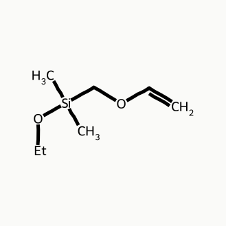 C=COC[Si](C)(C)OCC